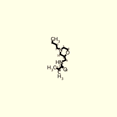 CCCCN1CCOC(CNC(=O)C(C)C)C1